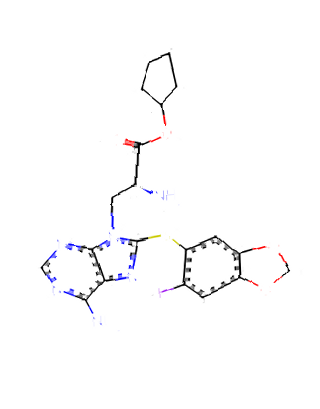 Nc1ncnc2c1nc(Sc1cc3c(cc1I)OCO3)n2C[C@H](N)C(=O)OC1CCCC1